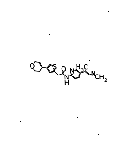 C=N/C=C(\C)c1ccc(NC(=O)Cc2cc(C3=CCOCC3)cs2)nc1